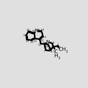 C=CC1(C)CN2CCC1CC2Cc1ccnc2ccccc12